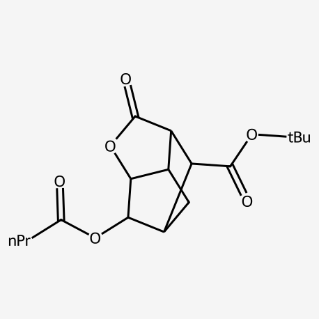 [CH2]CCC(=O)OC1C2CC3C1OC(=O)C3C2C(=O)OC(C)(C)C